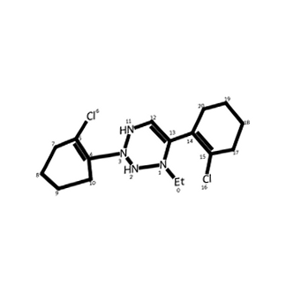 CCn1[nH]n(C2=C(Cl)CCCC2)[nH]cc1C1=C(Cl)CCCC1